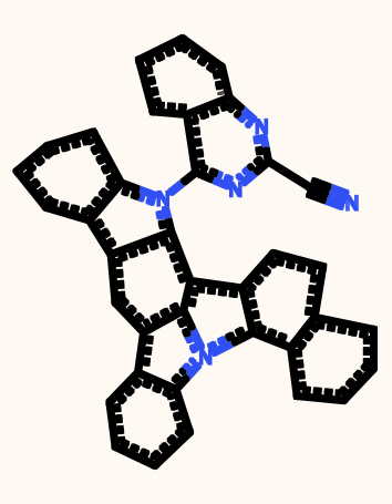 N#Cc1nc(-n2c3ccccc3c3cc4c5ccccc5n5c6c7ccccc7ccc6c(c32)c45)c2ccccc2n1